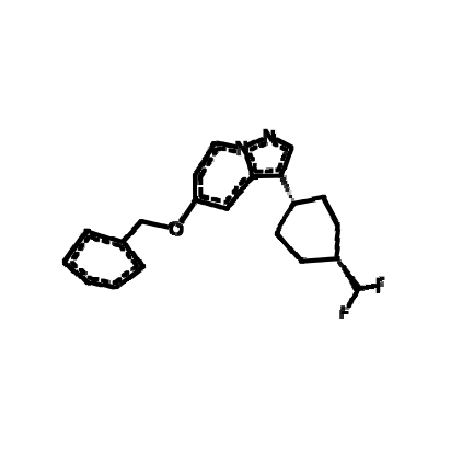 FC(F)[C@H]1CC[C@H](c2cnn3ccc(OCc4ccccc4)cc23)CC1